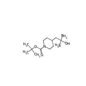 BC(B)(O)CC1CCN(C(=O)OC(C)(C)C)CC1